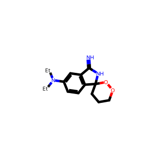 CCN(CC)c1ccc2c(c1)C(=N)NC21CCCOO1